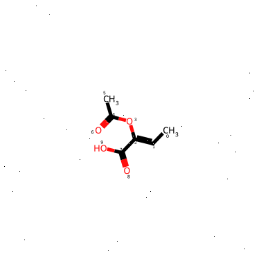 C/C=C(\OC(C)=O)C(=O)O